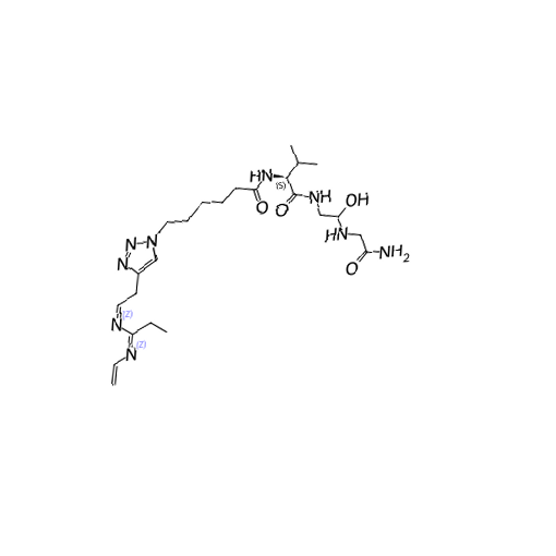 C=C/N=C(CC)\N=C/Cc1cn(CCCCCC(=O)N[C@H](C(=O)NCC(O)NCC(N)=O)C(C)C)nn1